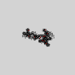 CCC1O[C@@H](OC2[C@H](OC3CCC4(C)C(CCC5C4CCC4(C)C5CC(=O)C4[C@H](C)C(=O)CC[C@H](C)CO[C@@H]4OC(CC)[C@@H](C)[C@H](OC(=O)c5ccccc5)C4OC(=O)c4ccccc4)C3)OC(COC(=O)c3ccccc3)[C@@H](O[C@@H]3OC(C)[C@H](C)[C@H](OC(=O)c4ccccc4)C3OC(=O)c3ccccc3)[C@@H]2C)C(OC(=O)c2ccccc2)[C@@H](C)[C@@H]1C